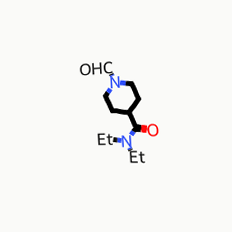 CCN(CC)C(=O)C1CCN(C=O)CC1